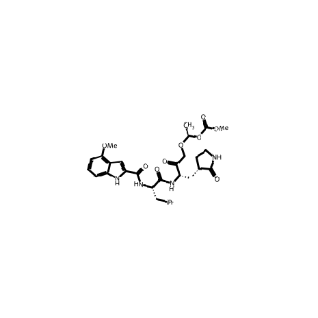 COC(=O)O[C@H](C)OCC(=O)[C@H](C[C@@H]1CCNC1=O)NC(=O)[C@H](CC(C)C)NC(=O)c1cc2c(OC)cccc2[nH]1